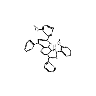 COc1ccccc1-c1cc(-c2ccccc2)c2ccc3c(c2n1)NC(c1ccccc1OC)C=C3c1ccccc1